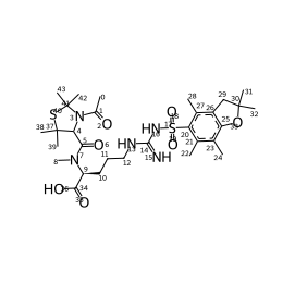 CC(=O)N1C(C(=O)N(C)[C@@H](CCCNC(=N)NS(=O)(=O)c2c(C)c(C)c3c(c2C)CC(C)(C)O3)C(=O)O)C(C)(C)SC1(C)C